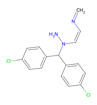 C=N/C=C\N(N)C(c1ccc(Cl)cc1)c1ccc(Cl)cc1